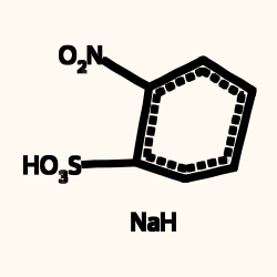 O=[N+]([O-])c1ccccc1S(=O)(=O)O.[NaH]